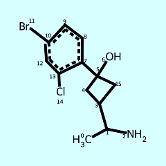 CC(N)C1CC(O)(c2ccc(Br)cc2Cl)C1